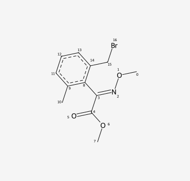 CO/N=C(/C(=O)OC)c1c(C)cccc1CBr